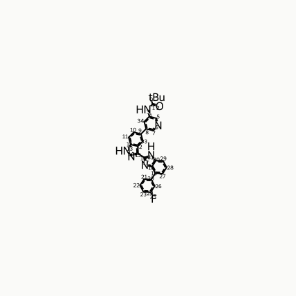 CC(C)(C)C(=O)Nc1cncc(-c2ccc3[nH]nc(-c4nc5c(-c6cccc(F)c6)cccc5[nH]4)c3c2)c1